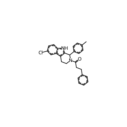 Cc1ccc(C2c3[nH]c4ccc(Cl)cc4c3CCN2C(=O)CCc2ccccc2)cc1